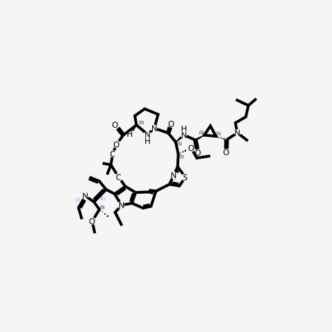 C=C/C(=C(\N=C/C)[C@H](C)OC)c1c2c3cc(ccc3n1CC)-c1csc(n1)[C@@H](OCC)[C@H](NC(=O)[C@H]1C[C@@H]1C(=O)N(C)CCC(C)C)C(=O)N1CCC[C@H](N1)C(=O)OCC(C)(C)C2